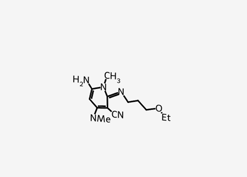 CCOCCCN=c1c(C#N)c(NC)cc(N)n1C